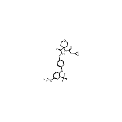 COc1ccc(Oc2ccc(CNC(=O)C3(NC(=O)CC4CC4)CCOCC3)cc2)c(C(F)(F)F)c1